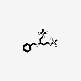 CS(=O)(=O)OCCC(COS(C)(=O)=O)OCc1ccccc1